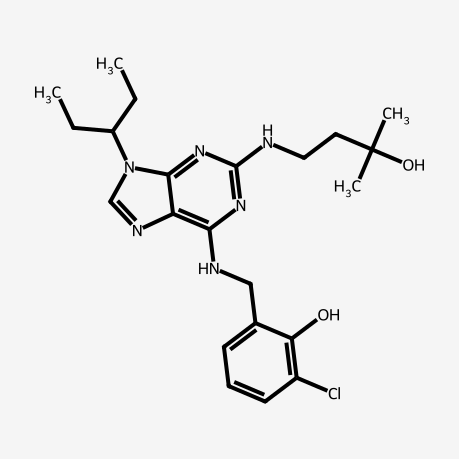 CCC(CC)n1cnc2c(NCc3cccc(Cl)c3O)nc(NCCC(C)(C)O)nc21